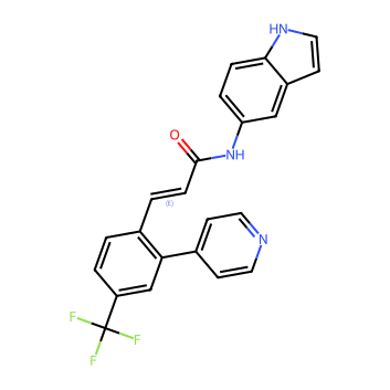 O=C(/C=C/c1ccc(C(F)(F)F)cc1-c1ccncc1)Nc1ccc2[nH]ccc2c1